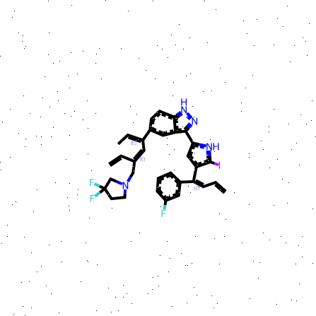 C=C/C=C(/c1cccc(F)c1)c1cc(-c2n[nH]c3ccc(C(/C=C(\C=C)CN4CCC(F)(F)C4)=C/C)cc23)[nH]c1I